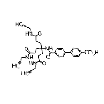 C#CCNC(=O)CCC(CCC(=O)NCC#C)(CCC(=O)NCC#C)NC(=O)c1ccc(-c2ccc(C(=O)O)cc2)cc1